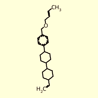 C=CC1CCC(C2CCC(c3ccc(COCC=CC)cc3)CC2)CC1